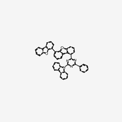 c1ccc(-c2nc(-c3cccc4oc5c(-c6cccc7c6oc6ccccc67)cccc5c34)nc(-n3c4ccccc4c4ccccc43)n2)cc1